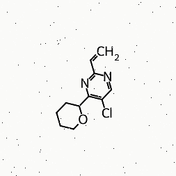 C=Cc1ncc(Cl)c(C2CCCCO2)n1